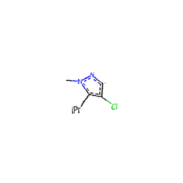 CC(C)c1c(Cl)[c]nn1C